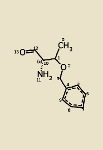 CC(OCc1ccccc1)[C@H](N)C=O